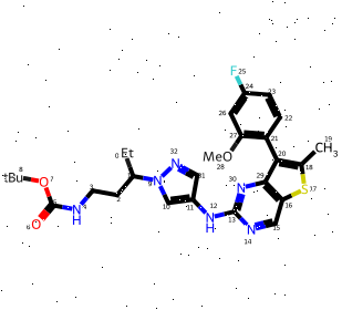 CCC(CCNC(=O)OC(C)(C)C)n1cc(Nc2ncc3sc(C)c(-c4ccc(F)cc4OC)c3n2)cn1